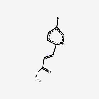 COC(=O)/C=C/c1ccc(F)cn1